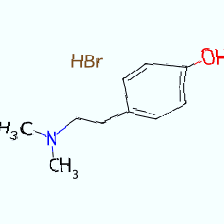 Br.CN(C)CCc1ccc(O)cc1